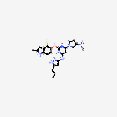 C/C=C/c1cc(Nc2cc(N3CCC(N(CC)CC)C3)nc(Oc3ccc4[nH]c(C)cc4c3F)n2)n[nH]1